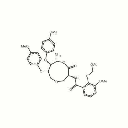 COc1ccc(O[C@H]2[C@H](C)OC(=O)[C@@H](NC(=O)c3nccc(OC)c3OCOC(C)=O)COC[C@@H]2Oc2ccc(OC)cc2)cc1